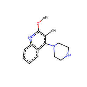 CCCOc1nc2ccccc2c(N2CCNCC2)c1C#N